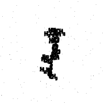 COC[C@H](N)CCCc1cc(OC(F)(F)F)c(F)c(-c2cc3cn(-c4ccc([C@@H]5CCC[C@@H](C[C@H](C)NC(C)=N)N5)cc4)c(=O)nc3[nH]2)c1